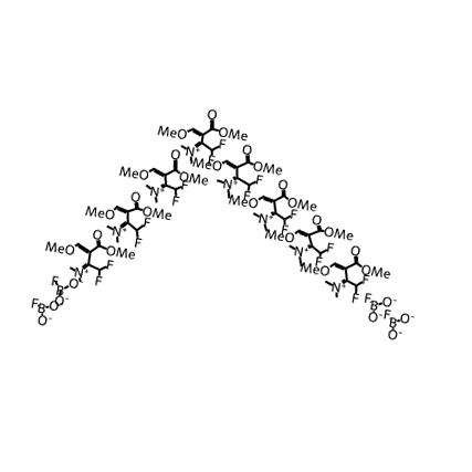 COC=C(C(=O)OC)C(C(F)F)=[N+](C)C.COC=C(C(=O)OC)C(C(F)F)=[N+](C)C.COC=C(C(=O)OC)C(C(F)F)=[N+](C)C.COC=C(C(=O)OC)C(C(F)F)=[N+](C)C.COC=C(C(=O)OC)C(C(F)F)=[N+](C)C.COC=C(C(=O)OC)C(C(F)F)=[N+](C)C.COC=C(C(=O)OC)C(C(F)F)=[N+](C)C.COC=C(C(=O)OC)C(C(F)F)=[N+](C)C.[O-]B([O-])F.[O-]B([O-])F.[O-]B([O-])F.[O-]B([O-])F